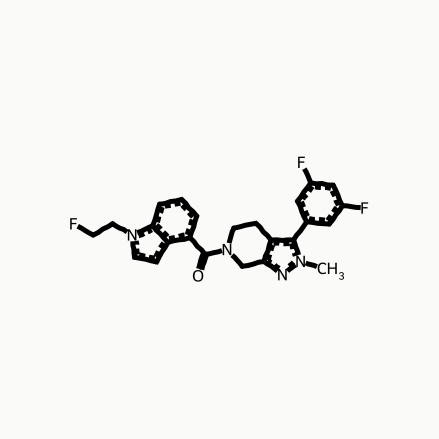 Cn1nc2c(c1-c1cc(F)cc(F)c1)CCN(C(=O)c1cccc3c1ccn3CCF)C2